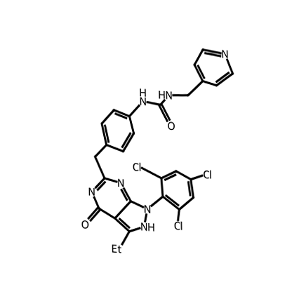 CCc1[nH]n(-c2c(Cl)cc(Cl)cc2Cl)c2nc(Cc3ccc(NC(=O)NCc4ccncc4)cc3)nc(=O)c1-2